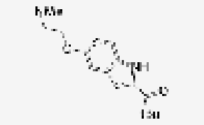 CNCCOc1ccc2[nH]c(C(=O)C(C)(C)C)cc2c1